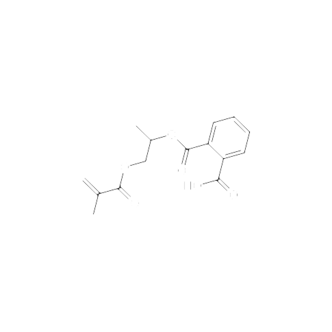 C=C(C)C(=O)OCC(C)OC(=O)c1ccccc1C(=O)O